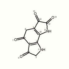 O=C1CNC2=C1C(=O)CC1=C2NC(=O)C1=O